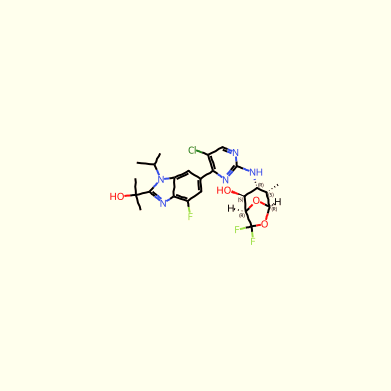 CC(C)n1c(C(C)(C)O)nc2c(F)cc(-c3nc(N[C@@H]4[C@H](C)[C@@H]5O[C@H]([C@H]4O)C(F)(F)O5)ncc3Cl)cc21